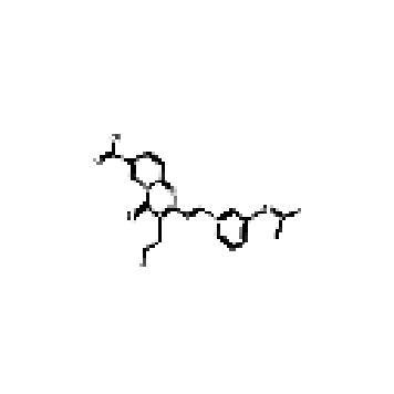 CCCc1c(/C=C/c2cccc(OC(C)C)c2)nc2ccc(C(=O)O)cn2c1=O